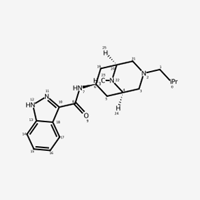 CC(C)CN1C[C@H]2C[C@@H](NC(=O)c3n[nH]c4ccccc34)C[C@@H](C1)N2C